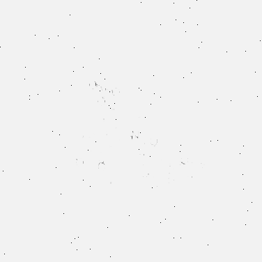 CCOc1ccc([C@@]2(CCOS(C)(=O)=O)CCN(C(=O)Cc3cccc(OC(C)C)c3)C2)cc1OCC